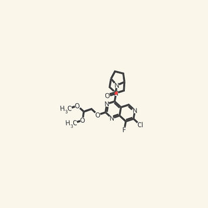 COC(COc1nc(N2CC3CCC(C2)N3C=O)c2cnc(Cl)c(F)c2n1)OC